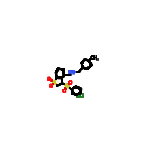 Cc1ccc(CNCc2cccc3c2C(S(=O)(=O)c2ccccc2)CS3(=O)=O)cc1.Cl